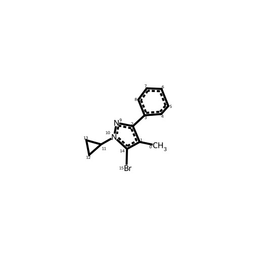 Cc1c(-c2ccccc2)nn(C2CC2)c1Br